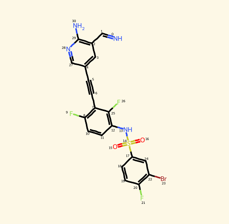 N=Cc1cc(C#Cc2c(F)ccc(NS(=O)(=O)c3ccc(F)c(Br)c3)c2F)cnc1N